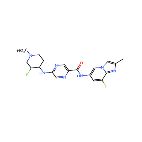 Cc1cn2cc(NC(=O)c3cnc(NC4CCN(C(=O)O)CC4F)cn3)cc(F)c2n1